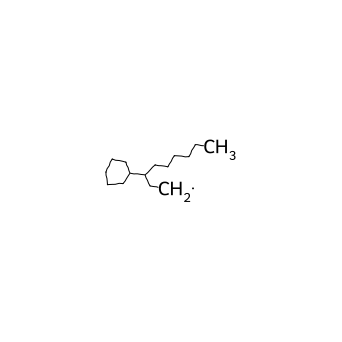 [CH2]CC(CCCCCC)C1CCCCC1